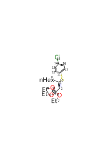 CCCCCC/C(=C\[Si](OCC)(OCC)OCC)Sc1ccc(Cl)cc1